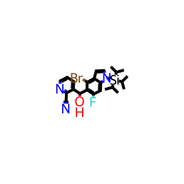 CC(C)[Si](C(C)C)(C(C)C)n1ccc2c(Br)c(C(O)c3cccnc3C#N)c(F)cc21